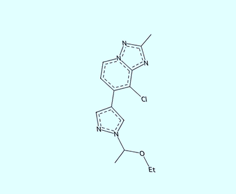 CCOC(C)n1cc(-c2ccn3nc(C)nc3c2Cl)cn1